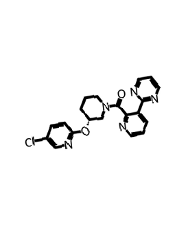 O=C(c1ncccc1-c1ncccn1)N1CCC[C@@H](Oc2ccc(Cl)cn2)C1